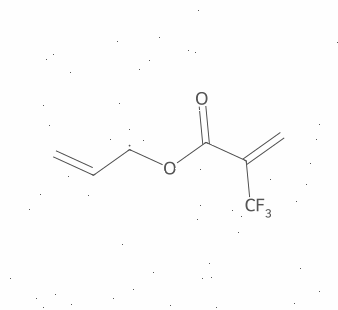 C=C[CH]OC(=O)C(=C)C(F)(F)F